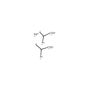 CC(=O)C(C)C(=O)[O-].CC(=O)C(C)C(=O)[O-].[Pd+2]